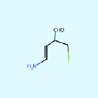 NC=CC(C=O)CF